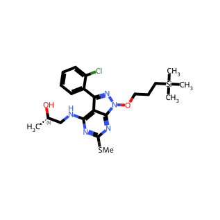 CSc1nc(NC[C@H](C)O)c2c(-c3ccccc3Cl)nn(OCCC[Si](C)(C)C)c2n1